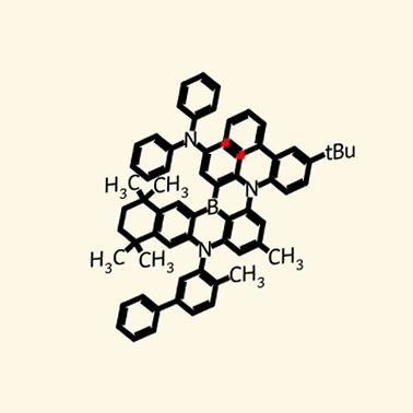 Cc1cc2c3c(c1)N(c1ccc(C(C)(C)C)cc1-c1ccccc1)c1ccc(N(c4ccccc4)c4ccccc4)cc1B3c1cc3c(cc1N2c1cc(-c2ccccc2)ccc1C)C(C)(C)CCC3(C)C